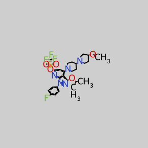 COC1CCN(C2CCN(c3cc(OS(=O)(=O)C(F)(F)F)nc4c3c(OC(C)C)nn4-c3ccc(F)cc3)CC2)CC1